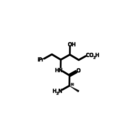 CC(C)CC(NC(=O)[C@H](C)N)C(O)CC(=O)O